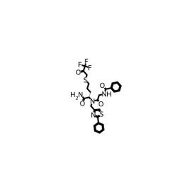 NC(=O)[C@H](CCCSCC(=O)C(F)(F)F)N(Cc1csc(-c2ccccc2)n1)C(=O)CNC(=O)c1ccccc1